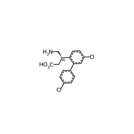 NC[C@H](CC(=O)O)c1ccc(Cl)cc1-c1ccc(Cl)cc1